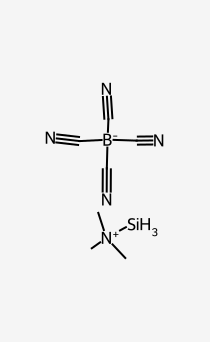 C[N+](C)(C)[SiH3].N#C[B-](C#N)(C#N)C#N